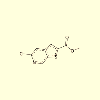 COC(=O)c1cc2cc(Cl)ncc2s1